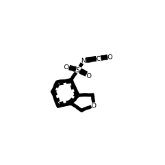 O=C=NS(=O)(=O)c1cccc2c1COC2